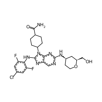 NC(=O)C1CCC(n2c(Nc3c(F)cc(Cl)cc3F)nc3cnc(N[C@@H]4CCO[C@H](CO)C4)nc32)CC1